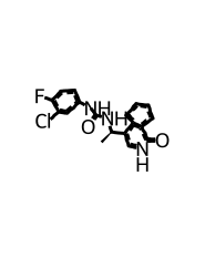 C[C@@H](NC(=O)Nc1ccc(F)c(Cl)c1)c1c[nH]c(=O)c2ccccc12